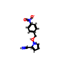 N#Cc1cccn1OCc1ccc([N+](=O)[O-])cc1